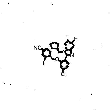 N#Cc1ccc(COc2cc(Cl)ccc2-c2nc3cc(F)c(F)cc3n2CC2CCCC2)c(F)c1